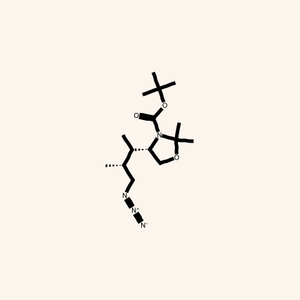 CC([C@H]1COC(C)(C)N1C(=O)OC(C)(C)C)[C@@H](C)CN=[N+]=[N-]